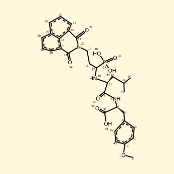 COc1ccc(C[C@H](NC(=O)[C@H](CC(C)C)NC(CCN2C(=O)c3cccc4cccc(c34)C2=O)P(=O)(O)O)C(=O)O)cc1